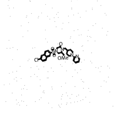 COCC1CN(S(=O)(=O)c2ccc3cc(Cl)ccc3c2)CC(=O)N1CC1CCN(c2ccccn2)CC1